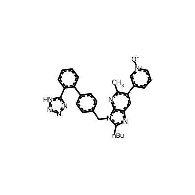 CCCCc1nc2cc(-c3ccc[n+]([O-])c3)c(C)nc2n1Cc1ccc(-c2ccccc2-c2nnn[nH]2)cc1